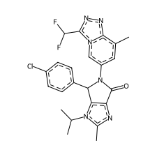 Cc1cc(N2C(=O)c3nc(C)n(C(C)C)c3C2c2ccc(Cl)cc2)cn2c(C(F)F)nnc12